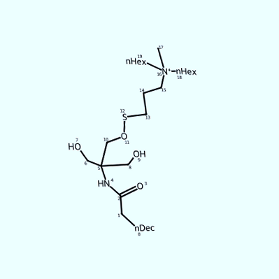 CCCCCCCCCCCC(=O)NC(CO)(CO)COSCCC[N+](C)(CCCCCC)CCCCCC